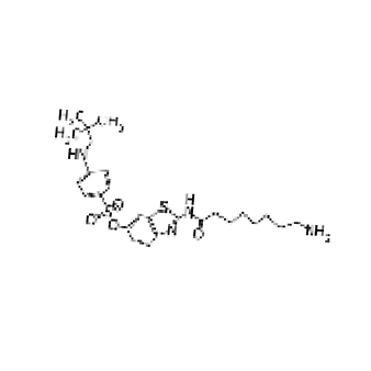 CC(C)(C)CNc1ccc(S(=O)(=O)Oc2ccc3nc(NC(=O)CCCCCCCN)sc3c2)cc1